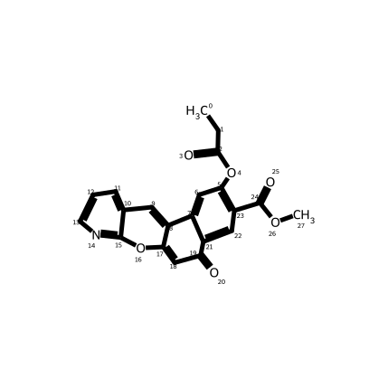 CCC(=O)Oc1cc2c3cc4cccnc4oc-3cc(=O)c2cc1C(=O)OC